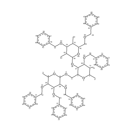 CC1OC(COC2OC(C)C(OCc3ccccc3)C(OCc3ccccc3)C2OCc2ccccc2)C(OC2OC(COCc3ccccc3)C(C)C(OCc3ccccc3)C2C)C(OCc2ccccc2)C1C